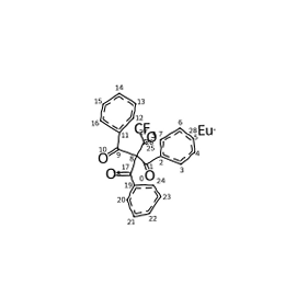 O=C(c1ccccc1)C(C(=O)c1ccccc1)(C(=O)c1ccccc1)C(=O)C(F)(F)F.[Eu]